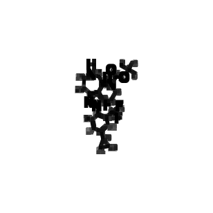 CC(C)(C)OC(=O)N1CCc2c3c(nn2-c2ccc(C4CC4)cc2C(F)(F)F)CCNC[C@@H]31